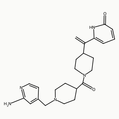 C=C(c1cccc(=O)[nH]1)C1CCN(C(=O)C2CCN(Cc3ccnc(N)c3)CC2)CC1